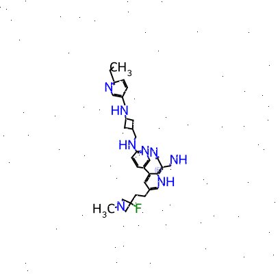 CCc1ccc(CNC2CC(CNc3ccc(C4=CC(CCC5(F)CN(C)C5)=CN/C4=C(/C#N)C=N)cn3)C2)cn1